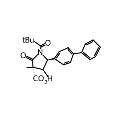 CC1[C@H](c2ccc(-c3ccccc3)cc2)N(C(=O)C(C)(C)C)C(=O)[C@@]1(C)C(=O)O